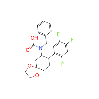 O=C(O)N(Cc1ccccc1)C1CC2(CCC1c1cc(F)c(F)cc1F)OCCO2